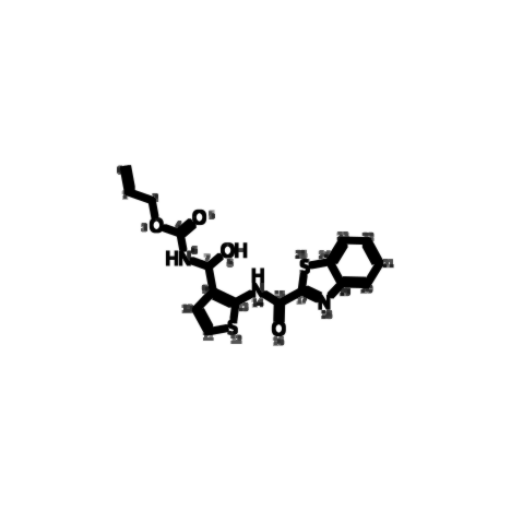 C=CCOC(=O)NC(O)c1ccsc1NC(=O)c1nc2ccccc2s1